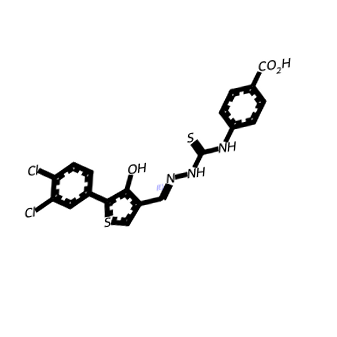 O=C(O)c1ccc(NC(=S)N/N=C/c2csc(-c3ccc(Cl)c(Cl)c3)c2O)cc1